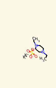 CCN1CCN(CC)CC1.O=S(=O)([O-])[O-].[K+].[K+]